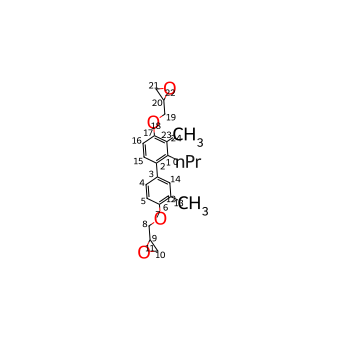 CCCc1c(-c2ccc(OCC3CO3)c(C)c2)ccc(OCC2CO2)c1C